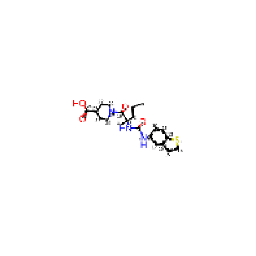 CCCC(C)(NC(=O)Nc1ccc2sccc2c1)C(=O)N1CCC(C(=O)O)CC1